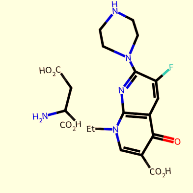 CCn1cc(C(=O)O)c(=O)c2cc(F)c(N3CCNCC3)nc21.NC(CC(=O)O)C(=O)O